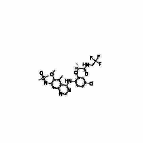 COc1c(N=S(C)(C)=O)cc2ncnc(Nc3ccc(Cl)cc3O[C@H](C)C(=O)NCC(F)(F)F)c2c1C